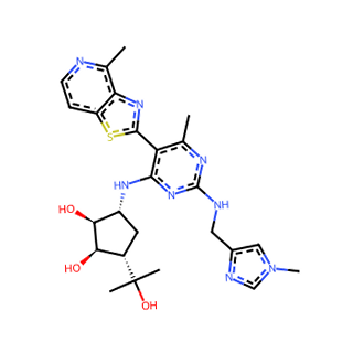 Cc1nc(NCc2cn(C)cn2)nc(N[C@@H]2C[C@H](C(C)(C)O)[C@@H](O)[C@H]2O)c1-c1nc2c(C)nccc2s1